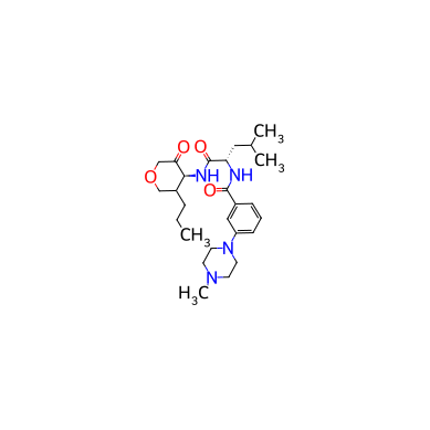 CCCC1COCC(=O)[C@H]1NC(=O)[C@H](CC(C)C)NC(=O)c1cccc(N2CCN(C)CC2)c1